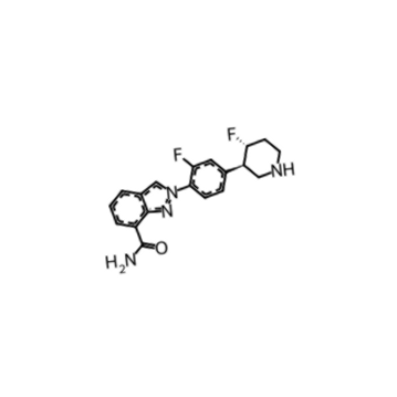 NC(=O)c1cccc2cn(-c3ccc([C@@H]4CNCC[C@H]4F)cc3F)nc12